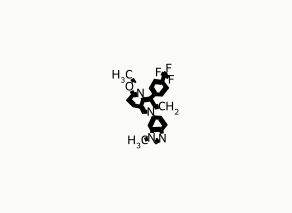 C=C1C(c2ccc(C(F)(F)F)cc2)=c2nc(OCC)ccc2=CN1c1ccc2ncn(C)c2c1